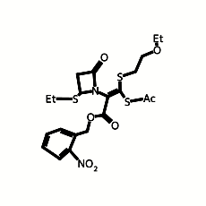 CCOCCS/C(SC(C)=O)=C(/C(=O)OCc1ccccc1[N+](=O)[O-])N1C(=O)CC1SCC